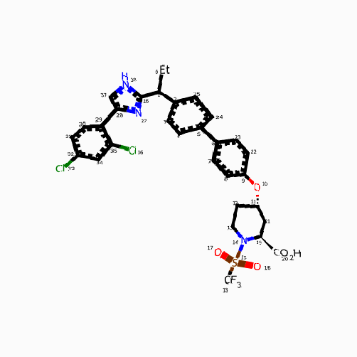 CCC(c1ccc(-c2ccc(O[C@H]3CCN(S(=O)(=O)C(F)(F)F)[C@H](C(=O)O)C3)cc2)cc1)c1nc(-c2ccc(Cl)cc2Cl)c[nH]1